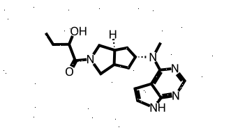 CCC(O)C(=O)N1CC2C[C@@H](N(C)c3ncnc4[nH]ccc34)C[C@@H]2C1